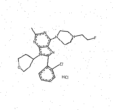 Cc1nc(N2CCN(CCF)CC2)c2nc(-c3ccccc3Cl)n(C3CCOCC3)c2n1.Cl